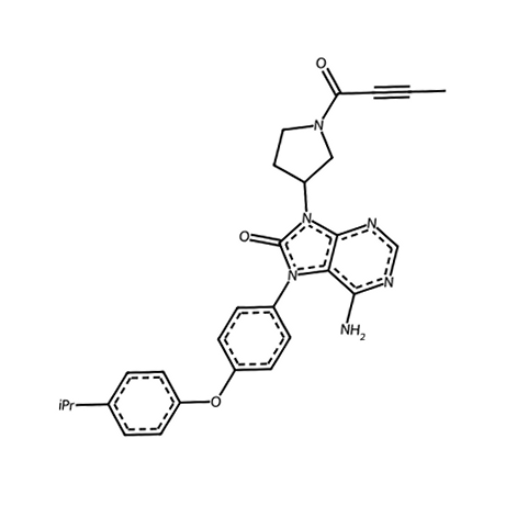 CC#CC(=O)N1CCC(n2c(=O)n(-c3ccc(Oc4ccc(C(C)C)cc4)cc3)c3c(N)ncnc32)C1